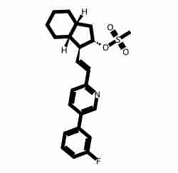 CS(=O)(=O)O[C@H]1C[C@H]2CCCC[C@H]2[C@@H]1/C=C/c1ccc(-c2cccc(F)c2)cn1